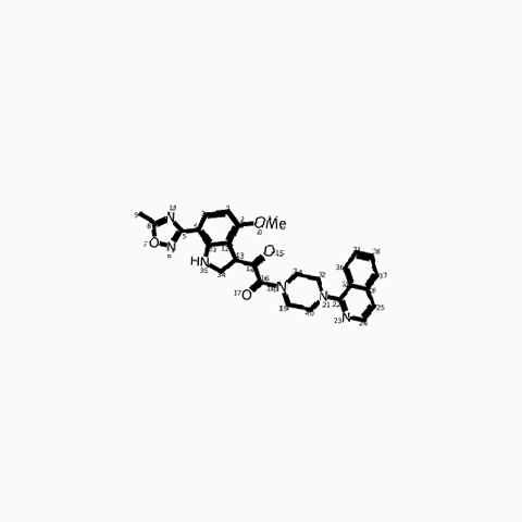 COc1ccc(-c2noc(C)n2)c2c1C(C(=O)C(=O)N1CCN(c3nccc4ccccc34)CC1)CN2